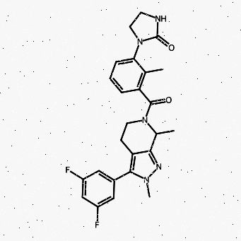 Cc1c(C(=O)N2CCc3c(nn(C)c3-c3cc(F)cc(F)c3)C2C)cccc1N1CCNC1=O